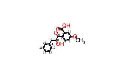 COc1ccc(C(=O)/C(O)=C/c2ccccc2)c(C(=O)O)c1